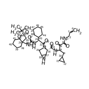 C=CCNC(=O)C(=O)C(CC1CC1)NC(=O)[C@@H]1C2NC2CN1C(=O)[C@@H](NC(=O)NC1(CS(=O)(=O)C(C)(C)C)CCCCC1)C1CCCCC1